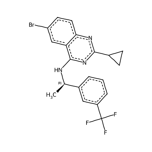 C[C@@H](Nc1nc(C2CC2)nc2ccc(Br)cc12)c1cccc(C(F)(F)F)c1